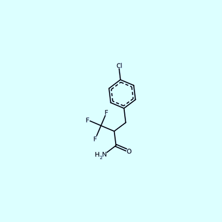 NC(=O)C(Cc1ccc(Cl)cc1)C(F)(F)F